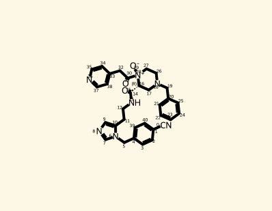 N#Cc1ccc(Cn2cncc2CCNC(=O)[C@H]2CN(Cc3ccccc3)CC[N+]2([O-])C(=O)Cc2ccncc2)cc1